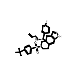 C=CCN[C@@H](c1ccc(F)cc1)C12Cc3cn[nH]c3C=C1CCN(S(=O)(=O)c1ccc(C(C)(C)C)cc1)C2